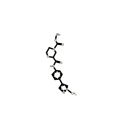 Cn1cc(-c2ccc(NC(=O)C3CN(C(=O)OC(C)(C)C)CCO3)cc2)cn1